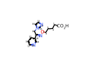 O=C(O)CCCCO/N=C(\Cn1ccnc1)c1cccnc1